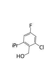 CC(C)c1cc(F)cc(Cl)c1CO